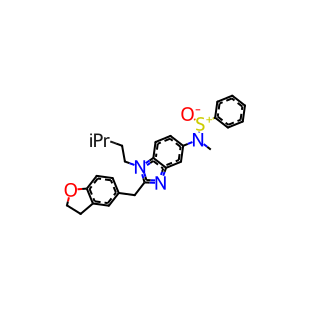 CC(C)CCn1c(Cc2ccc3c(c2)CCO3)nc2cc(N(C)[S+]([O-])c3ccccc3)ccc21